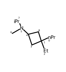 CCCC1(CC)CC(N(C)C(C)C)C1